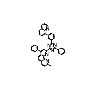 Cc1ccc2ccc3c(-c4ccccc4)cc(-c4nc(-c5ccccc5)nc(-c5cccc(-c6cccc7cccnc67)c5)n4)nc3c2n1